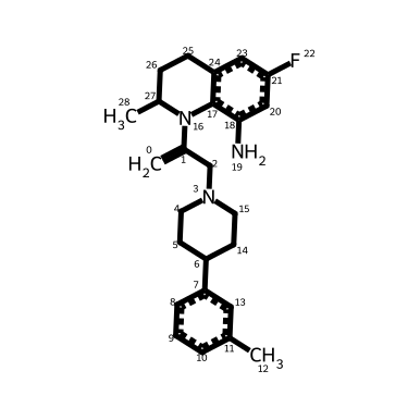 C=C(CN1CCC(c2cccc(C)c2)CC1)N1c2c(N)cc(F)cc2CCC1C